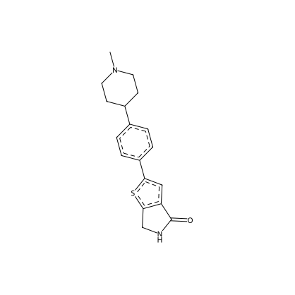 CN1CCC(c2ccc(-c3cc4c(s3)CNC4=O)cc2)CC1